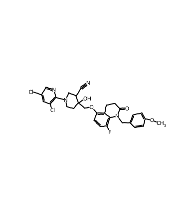 COc1ccc(CN2C(=O)CCc3c(OCC4(O)CCN(c5ncc(Cl)cc5Cl)CC4C#N)ccc(F)c32)cc1